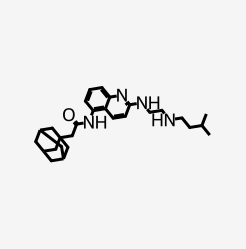 CC(C)CCNCCNc1ccc2c(NC(=O)CC34CC5CC(CC(C5)C3)C4)cccc2n1